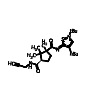 C#CCNC(=O)[C@H]1CC[C@@](C)(C(=O)/N=c2\sn(C(C)(C)C)cc2CCCC)C1(C)C